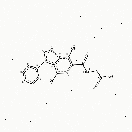 O=C(O)CNC(=O)c1nc(Br)c2c(-c3ccccc3)nsc2c1O